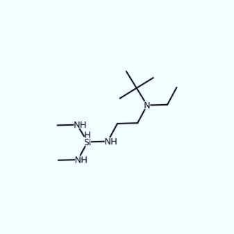 CCN(CCN[SiH](NC)NC)C(C)(C)C